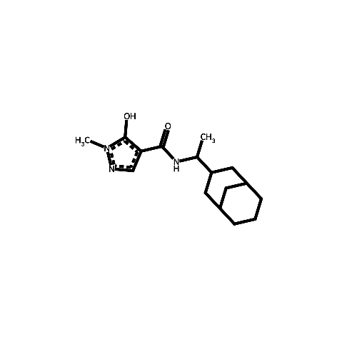 CC(NC(=O)c1cnn(C)c1O)C1CC2CCCC(C2)C1